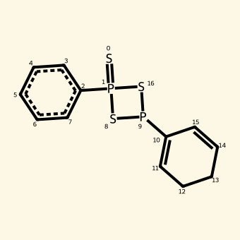 S=P1(c2ccccc2)SP(C2=CCCC=C2)S1